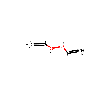 C=COOC=C